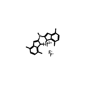 Cc1ccc(C)c2c1C=C1[CH]2[Hf+2][CH]2C(=Cc3c(C)ccc(C)c32)P1C.[F-].[F-]